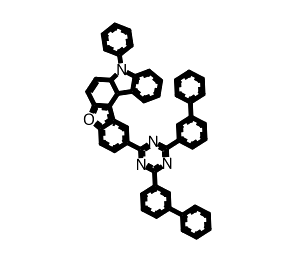 C1=CC2C(c3ccccc3N2c2ccccc2)c2c1oc1ccc(-c3nc(-c4cccc(-c5ccccc5)c4)nc(-c4cccc(-c5ccccc5)c4)n3)cc21